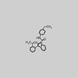 CCc1ccc(NC(=O)n2cc(-c3ccccc3C(C)C)c3ccccc32)cc1